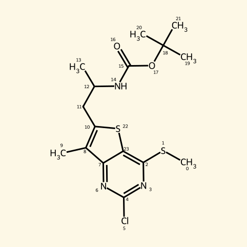 CSc1nc(Cl)nc2c(C)c(CC(C)NC(=O)OC(C)(C)C)sc12